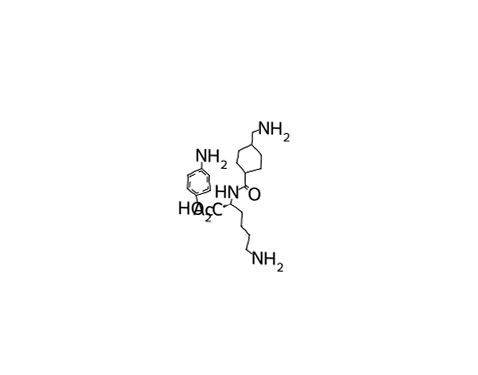 CC(=O)c1ccc(N)cc1.NCCCC[C@H](NC(=O)C1CCC(CN)CC1)C(=O)O